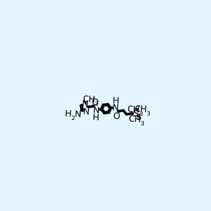 Cn1cc(N)nc1C(=O)Nc1ccc(NC(=O)CCC(C)(C)S(C)=S)cc1